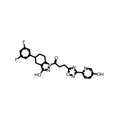 O=C(CCc1nc(-c2ccc(O)cn2)no1)n1nc(O)c2c1CCC(c1cc(F)cc(F)c1)C2